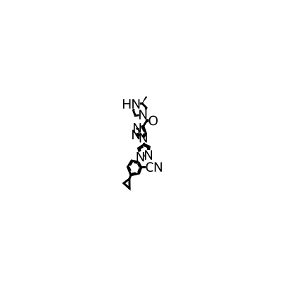 C[C@H]1CN(C(=O)c2cn(-c3cnn(-c4ccc(C5CC5)cc4C#N)c3)nn2)CCN1